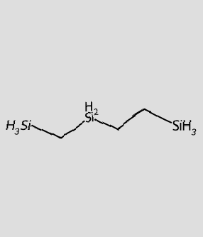 [SiH3]CC[SiH2]C[SiH3]